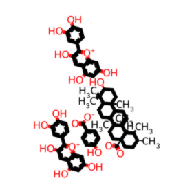 C[C@H]1[C@H](C)CC[C@]2(C(=O)[O-])CC[C@]3(C)C(=CCC4[C@@]5(C)CC[C@H](O)C(C)(C)C5CC[C@]43C)[C@H]12.O=C([O-])c1ccc(O)cc1.Oc1cc(O)c2cc(O)c(-c3ccc(O)c(O)c3)[o+]c2c1.Oc1cc(O)c2cc(O)c(-c3ccc(O)c(O)c3)[o+]c2c1